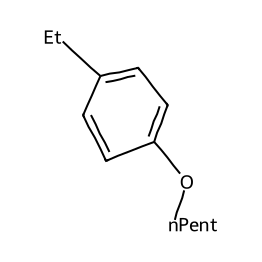 CCCCCOc1ccc(CC)cc1